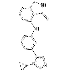 O=C1NCc2cccc(Nc3cccc(-c4nncn4C4CC4)n3)c21